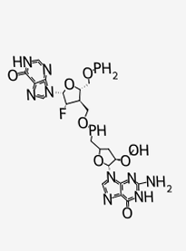 Nc1nc2c(ncn2[C@@H]2OC(CPOC[C@H]3[C@H](F)[C@H](n4cnc5c(=O)[nH]cnc54)O[C@@H]3COP)C[C@H]2OO)c(=O)[nH]1